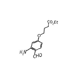 CCOC(=O)CCCOc1ccc(C=O)c(N)c1